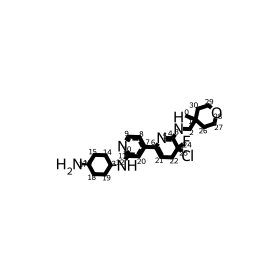 CC1(CNC2=NC(c3ccnc(N[C@H]4CC[C@H](N)CC4)c3)=CCC2(F)Cl)CCOCC1